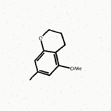 COc1cc(C)cc2c1CCCO2